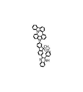 CC1(C)c2cc(C3=Nc4ccccc4NC3c3ccccc3)ccc2-c2ccc(-n3c4cccc5c6cccc7c8ccccc8n(c8cccc3c8c54)c67)cc21